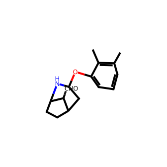 Cc1cccc(OC2CC3CCC(N2)C3C=O)c1C